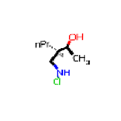 CCC[C@@H](CNCl)C(C)O